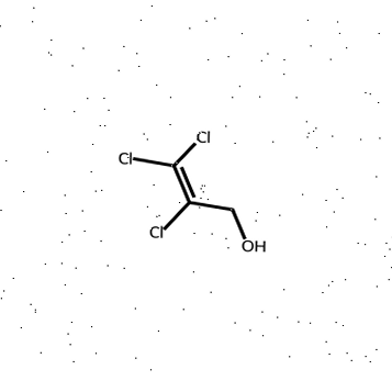 OCC(Cl)=C(Cl)Cl